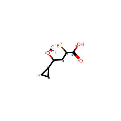 COC(CC(Br)C(=O)O)C1CC1